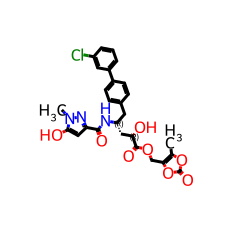 Cc1oc(=O)oc1COC(=O)[C@H](O)C[C@@H](Cc1ccc(-c2cccc(Cl)c2)cc1)NC(=O)c1cc(O)n(C)n1